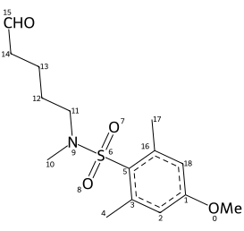 COc1cc(C)c(S(=O)(=O)N(C)CCCCC=O)c(C)c1